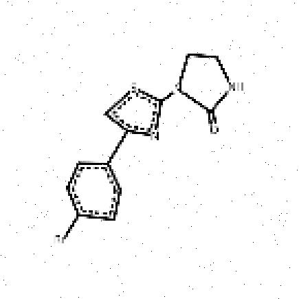 O=C1NCCN1c1nc(-c2ccc(Br)cc2)cs1